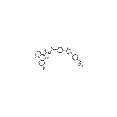 CC(C)c1cc(F)ccc1N1/C(=N/C(=O)NC2CC2c2ccc(-c3ncn(-c4ccc(OC(F)(F)F)cc4)n3)cc2)SCCC1C